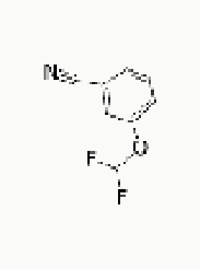 N#Cc1cccc(OC(F)F)c1